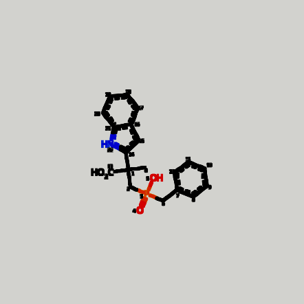 CC(CP(=O)(O)Cc1ccccc1)(C(=O)O)c1cc2ccccc2[nH]1